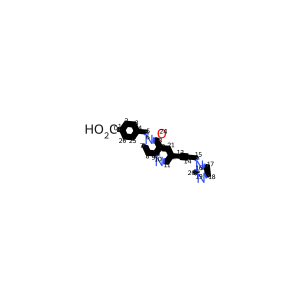 O=C(O)c1ccc(Cn2ccc3ncc(C#CCn4ccnc4)cc3c2=O)cc1